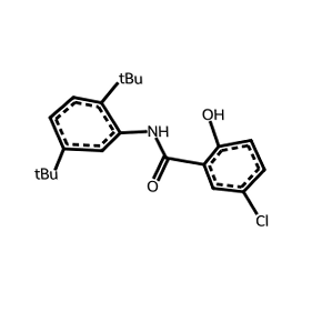 CC(C)(C)c1ccc(C(C)(C)C)c(NC(=O)c2cc(Cl)ccc2O)c1